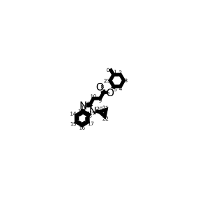 CC1CCCC(OC(=O)CCc2nc3ccccc3n2C2CC2)C1